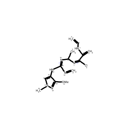 C=CNC(=C)/C(Cl)=N\C(C)/N=C(\N=C)Nc1cn(C)nc1OC